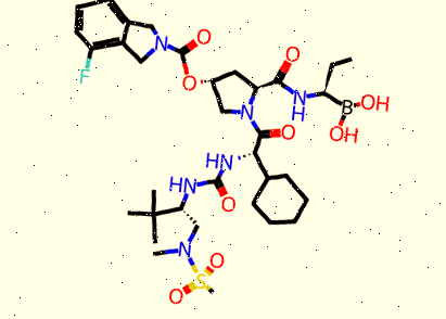 CC[C@H](NC(=O)[C@@H]1C[C@@H](OC(=O)N2Cc3cccc(F)c3C2)CN1C(=O)[C@@H](NC(=O)N[C@H](CN(C)S(C)(=O)=O)C(C)(C)C)C1CCCCC1)B(O)O